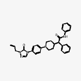 C=CCn1ncn(-c2ccc(N3CCC(C(C(=O)Nc4ccccc4)c4ccccc4)CC3)cc2)c1=O